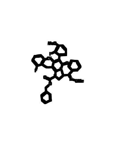 CO/N=C(\c1ccccc1)C1CN(C(=O)OCc2ccccc2)c2c(Cc3c(F)cccc3C(F)(F)F)c(C)c(-c3cccc(OC)c3F)c(=O)n21